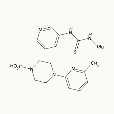 CC(C)(C)NC(=S)Nc1cccnc1.Cc1cccc(N2CCN(C(=O)O)CC2)n1